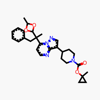 CC1OC(C(C)(Cc2ccccc2)c2ccnc3c(C4CCN(C(=O)OC5(C)CC5)CC4)cnn23)O1